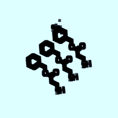 O=C(CCS)OCc1ccccc1.O=C(CCS)OCc1ccccc1.O=C(CCS)OCc1ccccc1.[Sb]